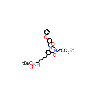 CCOC(=O)CCN1CC(=O)N(Cc2cccc(Oc3ccccc3)c2)c2ccc(CCCCCCNC(=O)OC(C)(C)C)cc2C1=O